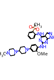 COc1cc(N2CCC(N3CCN(C)CC3)CC2)ccc1Nc1nc(Nc2ccccc2S(C)(=O)=O)c2cn[nH]c2n1